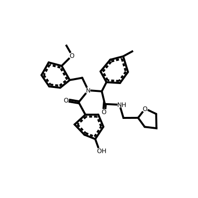 COc1ccccc1CN(C(=O)c1ccc(O)cc1)C(C(=O)NCC1CCCO1)c1ccc(C)cc1